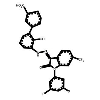 O=C(O)c1cccc(-c2cccc(N/N=C3\C(=O)N(c4cc(F)cc(F)c4)c4cc(C(F)(F)F)ccc43)c2O)c1